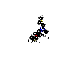 CCC1CC2CC(C)C3(c4cc(-c5nc(-c6ccccc6)nc(-c6cccc(-c7cccc8c7sc7ccccc78)c6)n5)ccc4-c4cccc(-c5cccc6c5-c5ccccc5S6(C)C)c43)C(C1)C2